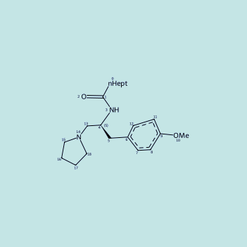 CCCCCCCC(=O)N[C@@H](Cc1ccc(OC)cc1)CN1CCCC1